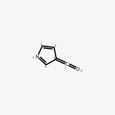 O=C=C1C=CN=C1